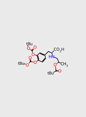 CC(CN[C@@H](Cc1ccc(OC(=O)OC(C)(C)C)c(OC(=O)OC(C)(C)C)c1)C(=O)O)OC(=O)C(C)(C)C